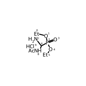 CCOP(=O)(OCC)C(N)NC(C)=O.Cl